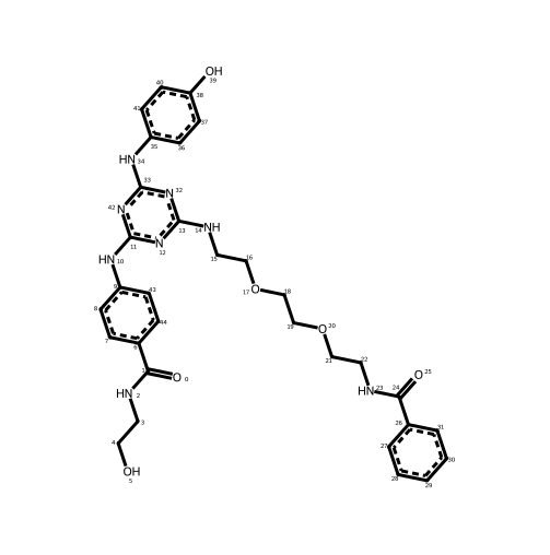 O=C(NCCO)c1ccc(Nc2nc(NCCOCCOCCNC(=O)c3ccccc3)nc(Nc3ccc(O)cc3)n2)cc1